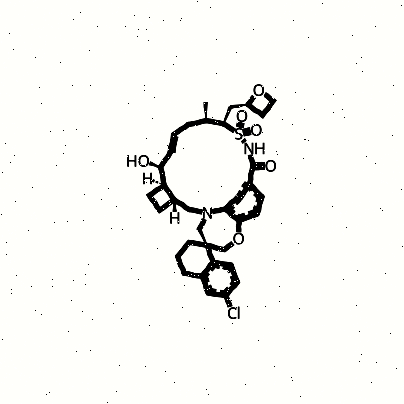 C[C@@H]1C/C=C/[C@H](O)[C@@H]2CC[C@H]2CN2C[C@@]3(CCCc4cc(Cl)ccc43)COc3ccc(cc32)C(=O)NS(=O)(=O)[C@@H]1C[C@@H]1CCO1